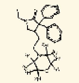 [2H]C1([2H])OC([2H])([2H])C([2H])([2H])N(CCC2CN(CC)C(=O)C2(c2ccccc2)c2ccccc2)C1([2H])[2H]